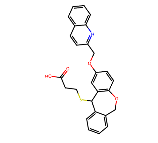 O=C(O)CCSC1c2ccccc2COc2ccc(OCc3ccc4ccccc4n3)cc21